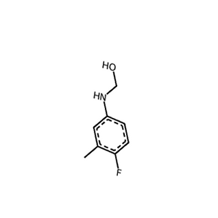 Cc1cc(NCO)ccc1F